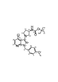 COc1ccc(Cn2nc(N3CC[C@@H](NC(=O)OC(C)(C)C)C3)c3c(Cl)ccnc32)cc1